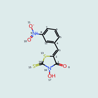 O=C1C(=Cc2cccc([N+](=O)[O-])c2)SC(=S)N1O